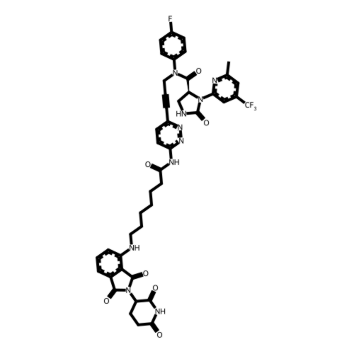 Cc1cc(C(F)(F)F)cc(N2C(=O)NC[C@H]2C(=O)N(CC#Cc2ccc(NC(=O)CCCCCCNc3cccc4c3C(=O)N(C3CCC(=O)NC3=O)C4=O)nn2)c2ccc(F)cc2)n1